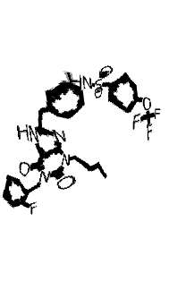 CCCCn1c(=O)n(Cc2ccccc2F)c(=O)c2[nH]c(Cc3ccc(NS(=O)(=O)c4ccc(OC(F)(F)F)cc4)cc3)nc21